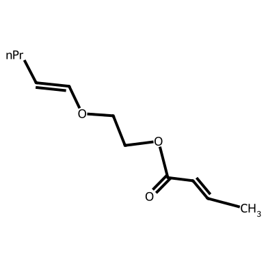 C/C=C/C(=O)OCCOC=CCCC